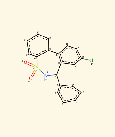 O=S1(=O)NC(c2ccccc2)c2cc(Cl)ccc2-c2ccccc21